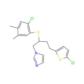 Cc1cc(Cl)c(SC(CCc2ccc(Cl)s2)Cn2ccnc2)cc1C